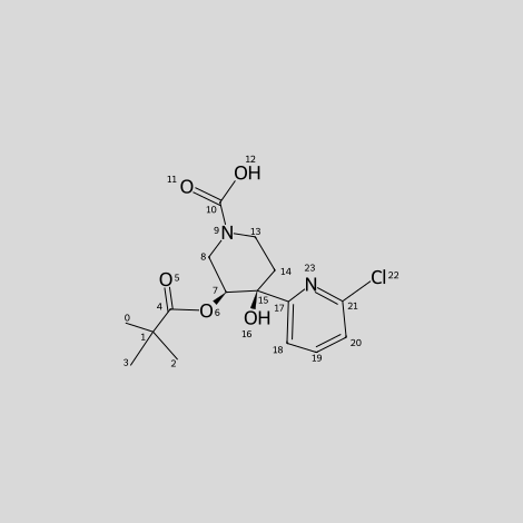 CC(C)(C)C(=O)O[C@H]1CN(C(=O)O)CC[C@]1(O)c1cccc(Cl)n1